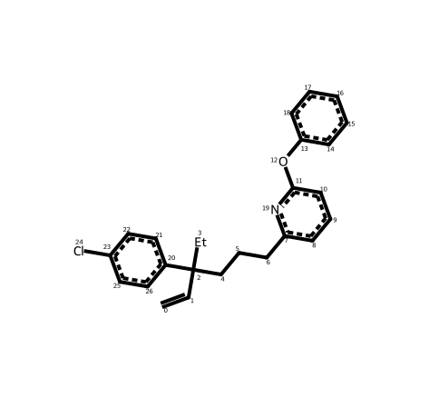 C=CC(CC)(CCCc1cccc(Oc2ccccc2)n1)c1ccc(Cl)cc1